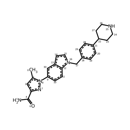 Cc1cc(C(N)=O)nn1-c1ccc2c(ccn2Cc2ccc(C3CCNCC3)cc2)c1